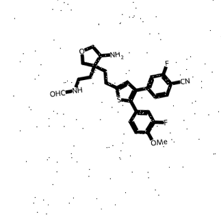 COc1ccc(-c2sc(CCC3(CCNC=O)COCC3N)cc2-c2ccc(C#N)c(F)c2)cc1F